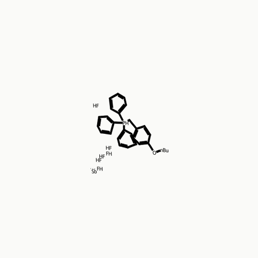 CCCCOc1ccc(C[PH](c2ccccc2)(c2ccccc2)c2ccccc2)cc1.F.F.F.F.F.F.[Sb]